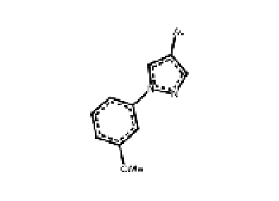 COc1cccc(-n2cc(C(C)=O)cn2)c1